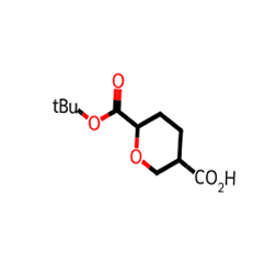 CC(C)(C)OC(=O)C1CCC(C(=O)O)CO1